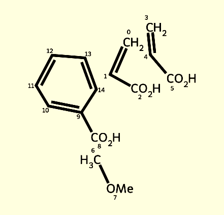 C=CC(=O)O.C=CC(=O)O.COC.O=C(O)c1ccccc1